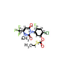 CCSC(=O)Oc1cc(-n2c(=O)cc(C(F)(F)F)n(C)c2=O)c(F)cc1Cl